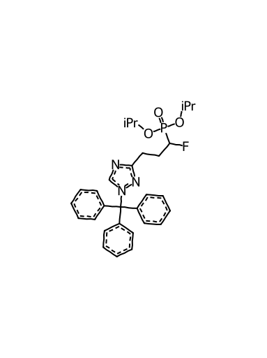 CC(C)OP(=O)(OC(C)C)C(F)CCc1ncn(C(c2ccccc2)(c2ccccc2)c2ccccc2)n1